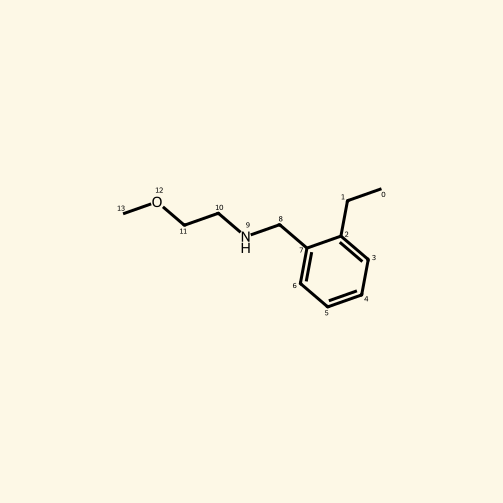 CCc1ccccc1CNCCOC